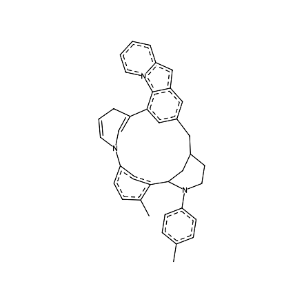 Cc1ccc(N2CCC3Cc4cc(c5c(c4)cc4ccccn45)C4=CN(C=CC4)c4ccc(C)c(c4)C2C3)cc1